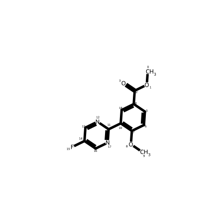 COC(=O)c1ccc(OC)c(-c2ncc(F)cn2)c1